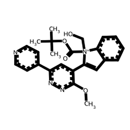 COc1nnc(-c2ccncc2)cc1C1=Cc2ccccc2[N+]1(CO)C(=O)OC(C)(C)C